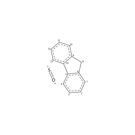 O=S.c1ccc2c(c1)Cc1ccccc1-2